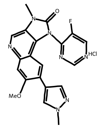 COc1cc2ncc3c(c2cc1-c1cnn(C)c1)n(-c1ncncc1F)c(=O)n3C.Cl